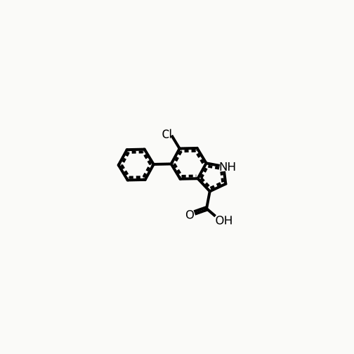 O=C(O)c1c[nH]c2cc(Cl)c(-c3ccccc3)cc12